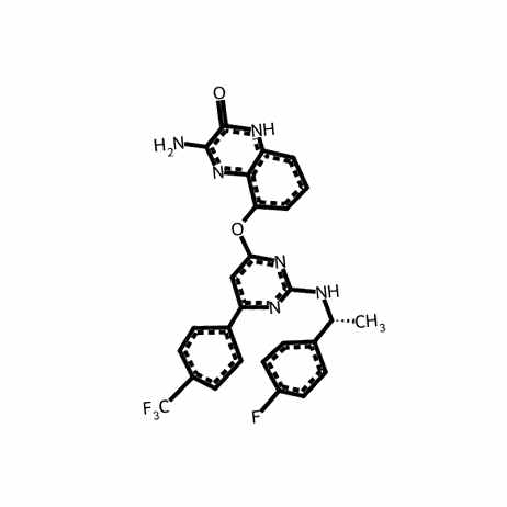 C[C@@H](Nc1nc(Oc2cccc3[nH]c(=O)c(N)nc23)cc(-c2ccc(C(F)(F)F)cc2)n1)c1ccc(F)cc1